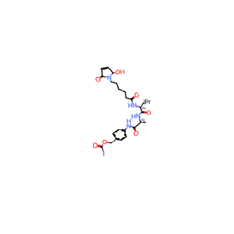 CC(C)[C@H](NC(=O)CCCCCN1C(=O)C=CC1O)C(=O)N[C@@H](C)C(=O)Nc1ccc(COC(=O)I)cc1